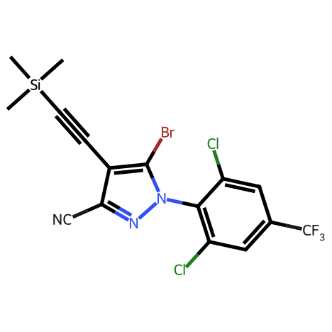 C[Si](C)(C)C#Cc1c(C#N)nn(-c2c(Cl)cc(C(F)(F)F)cc2Cl)c1Br